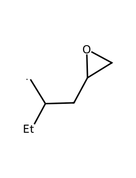 [CH2]C(CC)CC1CO1